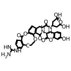 N=C(N)Nc1ccc2c(c1)CCCOc1c(ccc(CCC(=O)NC(CC(=O)O)CC(=O)O)c1C(=O)N[C@H]1Cc3ccc(O)cc3OC1=O)OC2=O